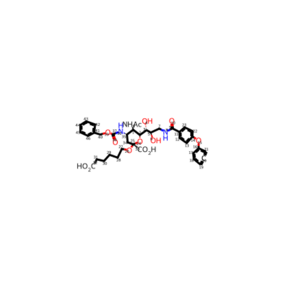 CC(=O)N[C@H]1[C@H]([C@H](O)[C@H](O)CNC(=O)c2ccc(Oc3ccccc3)cc2)O[C@@](OCCCCCC(=O)O)(C(=O)O)C[C@@H]1NC(=O)OCc1ccccc1